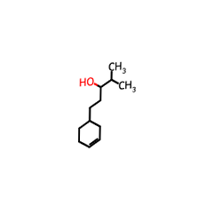 CC(C)C(O)CCC1CC=CCC1